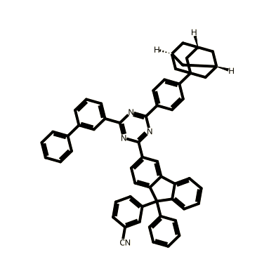 N#Cc1cccc(C2(c3ccccc3)c3ccccc3-c3cc(-c4nc(-c5ccc(C67C[C@H]8C[C@H](C6)C[C@@H](C7)C8)cc5)nc(-c5cccc(-c6ccccc6)c5)n4)ccc32)c1